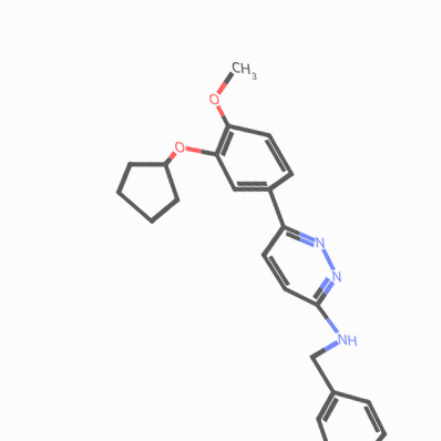 COc1ccc(-c2ccc(NCc3ccccc3)nn2)cc1OC1CCCC1